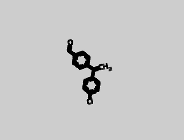 C=C(c1ccc(Cl)cc1)c1ccc(C=O)cc1